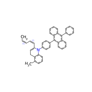 C/C=C\C=C/C1=CCc2c(C)cccc2N1c1ccc(-c2c3ccccc3c(-c3ccccc3)c3ccccc23)cc1